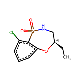 CC[C@@H]1CNS(=O)(=O)c2c(Cl)cccc2O1